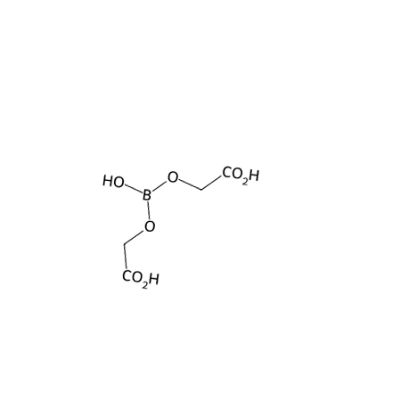 O=C(O)COB(O)OCC(=O)O